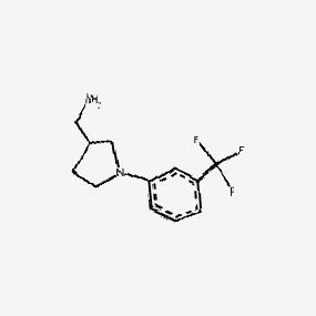 NCC1CCN(c2cccc(C(F)(F)F)c2)C1